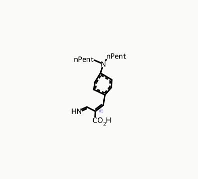 CCCCCN(CCCCC)c1ccc(/C=C(\C=N)C(=O)O)cc1